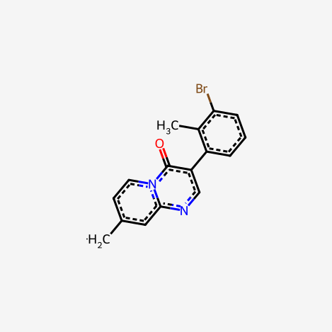 [CH2]c1ccn2c(=O)c(-c3cccc(Br)c3C)cnc2c1